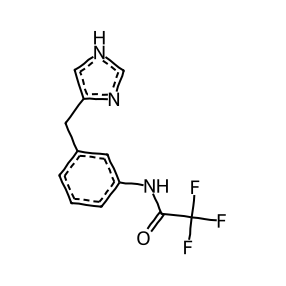 O=C(Nc1cccc(Cc2c[nH]cn2)c1)C(F)(F)F